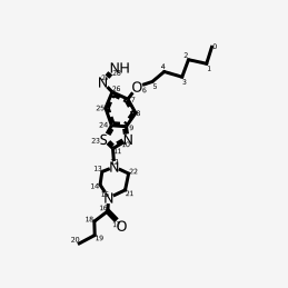 CCCCCCOc1cc2nc(N3CCN(C(=O)CCC)CC3)sc2cc1N=N